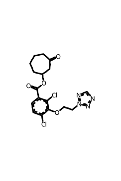 O=C1CCCCC(OC(=O)c2ccc(Cl)c(OCCn3ncnn3)c2Cl)C1